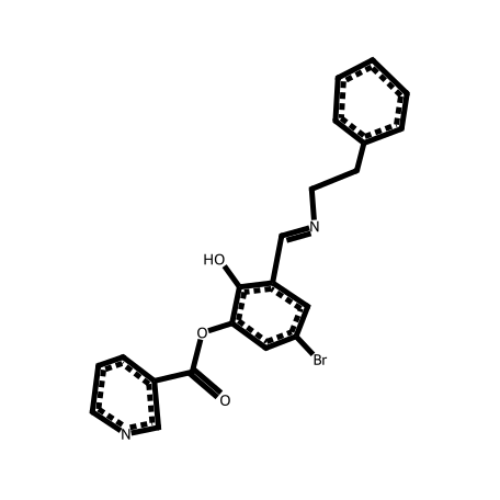 O=C(Oc1cc(Br)cc(C=NCCc2ccccc2)c1O)c1cccnc1